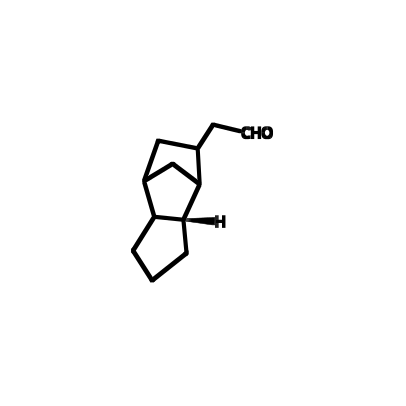 O=CCC1CC2CC1[C@@H]1CCCC21